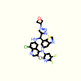 N#Cc1cnc2c(Cl)cc(NC(c3cn(C4COC4)nn3)c3cccc4ncsc34)cc2c1Nc1cnc(F)c(F)c1